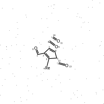 O=CC1=[C]([Re])CC=C1.[C]=O.[C]=O.[C]=O